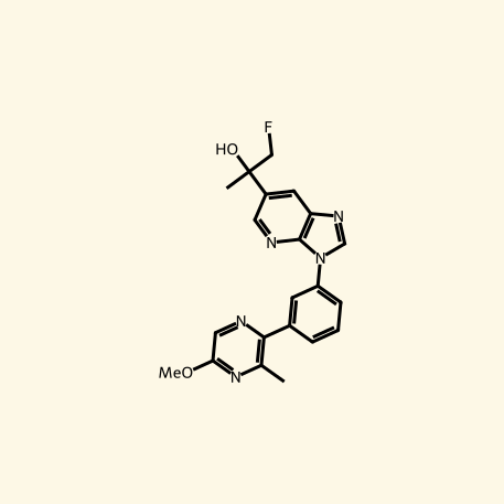 COc1cnc(-c2cccc(-n3cnc4cc(C(C)(O)CF)cnc43)c2)c(C)n1